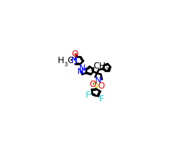 Cc1cc2c(cnn2-c2ccc(=O)n(C)c2)cc1C1(Cc2ccccc2)CCN(S(=O)(=O)c2cc(F)cc(F)c2)C1